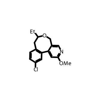 CCC1Cc2ccc(Cl)cc2-c2cc(OC)ncc2CO1